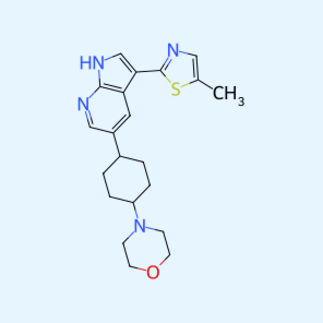 Cc1cnc(-c2c[nH]c3ncc(C4CCC(N5CCOCC5)CC4)cc23)s1